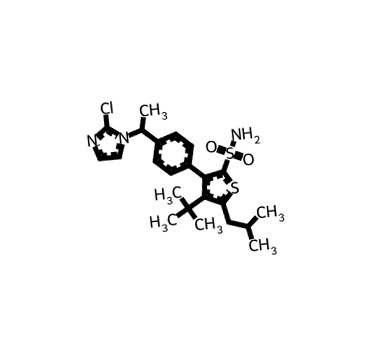 CC(C)Cc1sc(S(N)(=O)=O)c(-c2ccc(C(C)n3ccnc3Cl)cc2)c1C(C)(C)C